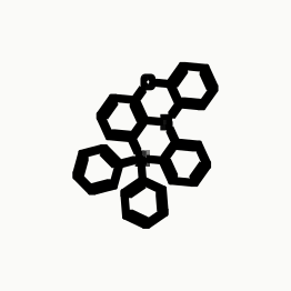 c1ccc([Si]2(c3ccccc3)c3ccccc3B3c4ccccc4Oc4cccc2c43)cc1